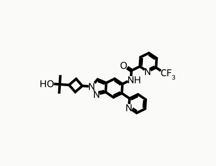 CC(C)(O)C1CC(n2cc3cc(NC(=O)c4cccc(C(F)(F)F)n4)c(-c4ccccn4)cc3n2)C1